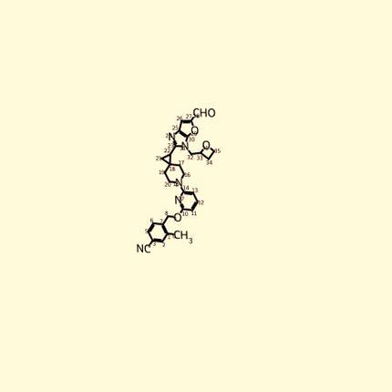 Cc1cc(C#N)ccc1COc1cccc(N2CCC3(CC2)CC3c2nc3cc(C=O)oc3n2CC2CCO2)n1